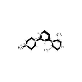 C[C@@H]1CNC[C@H](C)N1c1ccnc(N2CCN(C)CC2)n1